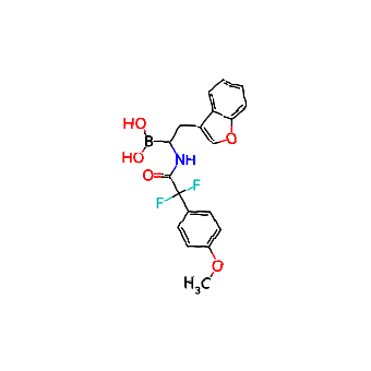 COc1ccc(C(F)(F)C(=O)NC(Cc2coc3ccccc23)B(O)O)cc1